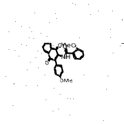 COc1ccc(C2=C(NC(=O)c3ccccc3OC)C(=O)c3ccccc3C2=O)cc1